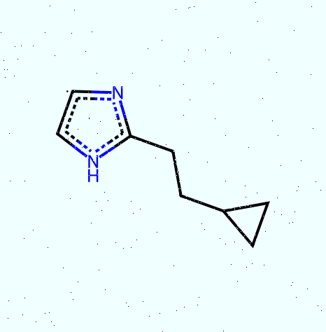 [c]1c[nH]c(CCC2CC2)n1